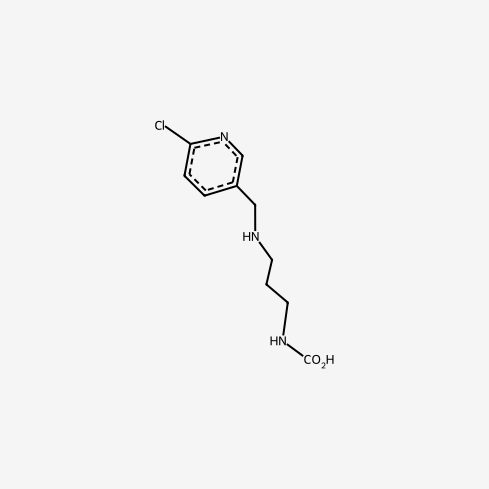 O=C(O)NCCCNCc1ccc(Cl)nc1